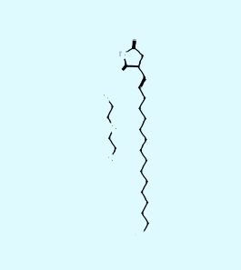 CC(C)CCCCCCCCCCCCCC=CC1CC(=O)NC1=O.NCCNCCN